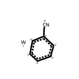 N#Cc1ccccc1.[W]